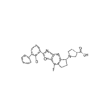 O=C(O)C1CCN(C2CCc3c2cc2nc(-c4cccc(-c5ccccc5)c4Cl)oc2c3F)C1